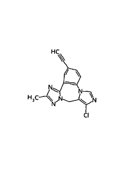 C#Cc1ccc2c(c1)-c1nc(C)nn1Cc1c(Cl)ncn1-2